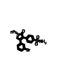 CCCN1CC(c2cccc(Br)c2)=C(c2ccc(S(N)(=O)=O)cc2)C1=O